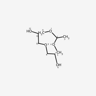 COC(C)OC.OCCOCCO